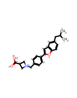 CC(C)Cc1ccc2oc(-c3ccc(CN4CC(C(=O)O)C4)cc3)cc2c1